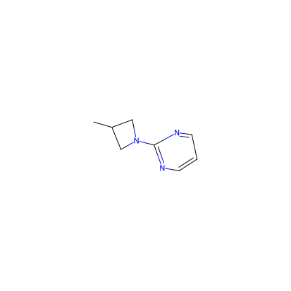 CC1CN(c2ncccn2)C1